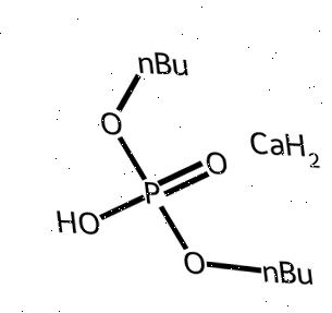 CCCCOP(=O)(O)OCCCC.[CaH2]